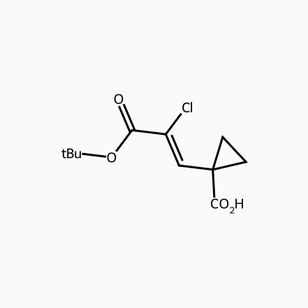 CC(C)(C)OC(=O)C(Cl)=CC1(C(=O)O)CC1